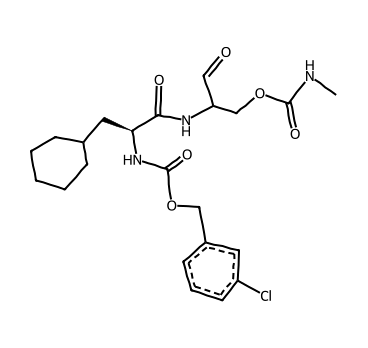 CNC(=O)OCC(C=O)NC(=O)[C@H](CC1CCCCC1)NC(=O)OCc1cccc(Cl)c1